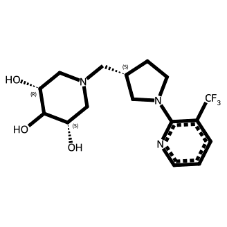 OC1[C@H](O)CN(C[C@@H]2CCN(c3ncccc3C(F)(F)F)C2)C[C@@H]1O